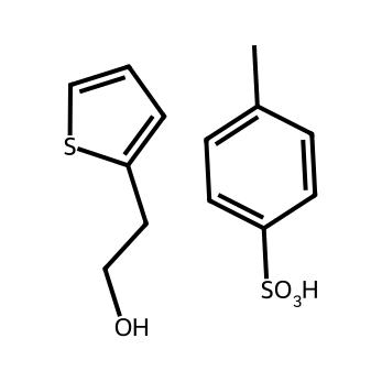 Cc1ccc(S(=O)(=O)O)cc1.OCCc1cccs1